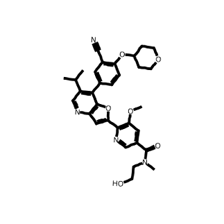 COc1cc(C(=O)N(C)CCO)cnc1-c1cc2ncc(C(C)C)c(-c3ccc(OC4CCOCC4)c(C#N)c3)c2o1